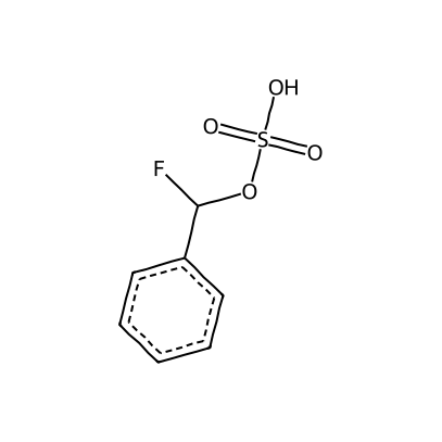 O=S(=O)(O)OC(F)c1ccccc1